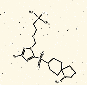 CN1CCCC12CCN(S(=O)(=O)c1nc(Br)nn1COCC[Si](C)(C)C)CC2